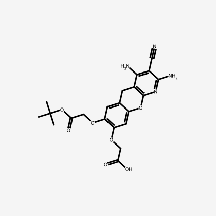 CC(C)(C)OC(=O)COc1cc2c(cc1OCC(=O)O)Oc1nc(N)c(C#N)c(N)c1C2